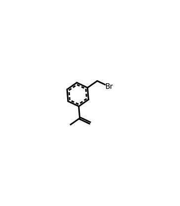 C=C(C)c1cccc(CBr)c1